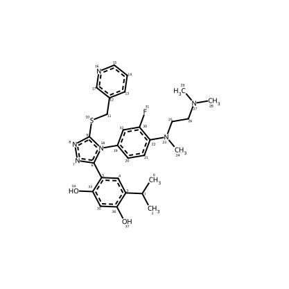 CC(C)c1cc(-c2nnc(SCc3cccnc3)n2-c2ccc(N(C)CCN(C)C)c(F)c2)c(O)cc1O